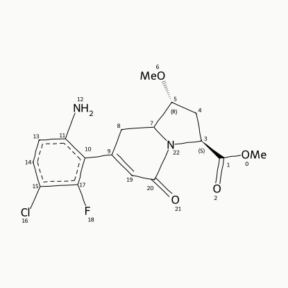 COC(=O)[C@@H]1C[C@@H](OC)C2CC(c3c(N)ccc(Cl)c3F)=CC(=O)N21